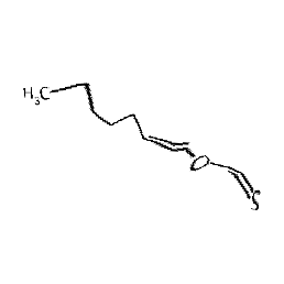 CCCCC=COC=S